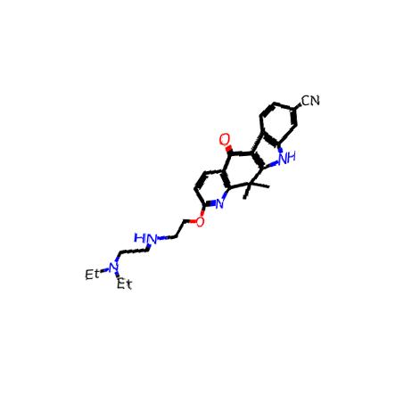 CCN(CC)CCNCCOc1ccc2c(n1)C(C)(C)c1[nH]c3cc(C#N)ccc3c1C2=O